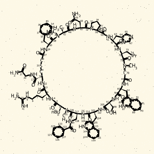 CCCC[C@H]1C(=O)N[C@@H](CCCNC(=N)N)C(=O)N[C@H](C(=O)NCC(N)=O)CSCC(=O)N[C@@H](Cc2ccccc2)C(=O)N(C)[C@@H](C)C(=O)N[C@@H](CC(N)=O)C(=O)N2CCC[C@H]2C(=O)N[C@@H](Cc2cnc[nH]2)C(=O)N[C@@H](CC(C)C)C(=O)N(C)CC(=O)N[C@@H](Cc2c[nH]c3ccccc23)C(=O)N[C@@H](CO)C(=O)N[C@@H](Cc2c[nH]c3ccccc23)C(=O)N[C@@H](CNC(=O)c2ccccc2)C(=O)N1C